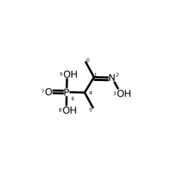 CC(=NO)C(C)P(=O)(O)O